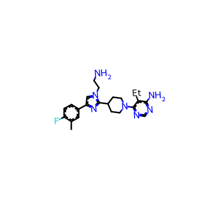 CCc1c(N)ncnc1N1CCC(c2nc(-c3ccc(F)c(C)c3)cn2CCN)CC1